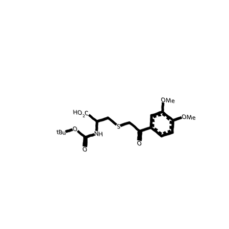 COc1ccc(C(=O)CSCC(NC(=O)OC(C)(C)C)C(=O)O)cc1OC